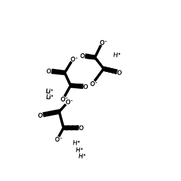 O=C([O-])C(=O)[O-].O=C([O-])C(=O)[O-].O=C([O-])C(=O)[O-].[H+].[H+].[H+].[H+].[Li+].[Li+]